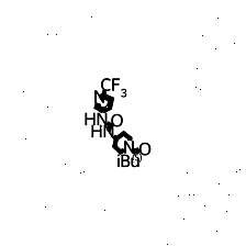 CC[C@H](C)C(=O)N1CCC(NC(=O)Nc2ccc(C(F)(F)F)nc2)CC1